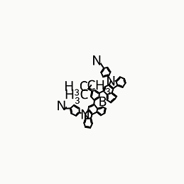 CC(C)(C)c1cc2c3c(c1)-c1cc4c(c5cccc(c15)B3c1cccc3c1c-2cc1c3c2ccccc2n1-c1ccc(C#N)cc1)c1ccccc1n4-c1ccc(C#N)cc1